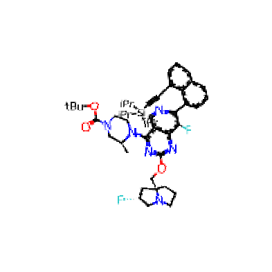 CC(C)[Si](C#Cc1cccc2cccc(-c3ncc4c(N5CCN(C(=O)OC(C)(C)C)C[C@@H]5C)nc(OC[C@@]56CCCN5C[C@H](F)C6)nc4c3F)c12)(C(C)C)C(C)C